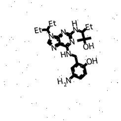 CCC(CC)n1cnc2c(NCc3cc(N)ccc3O)nc(NC(CC)C(C)(C)O)nc21